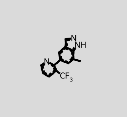 Cc1cc(-c2ncccc2C(F)(F)F)cc2cn[nH]c12